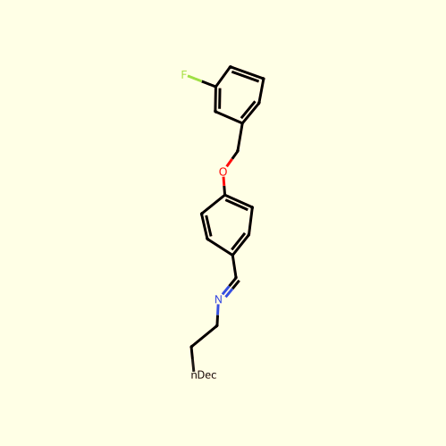 CCCCCCCCCCCCN=Cc1ccc(OCc2cccc(F)c2)cc1